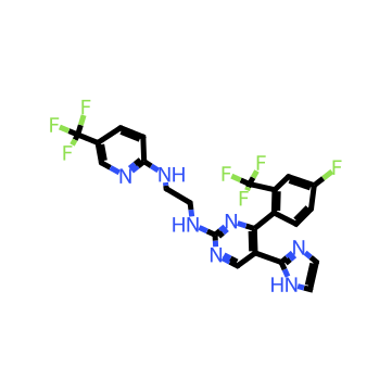 Fc1ccc(-c2nc(NCCNc3ccc(C(F)(F)F)cn3)ncc2-c2ncc[nH]2)c(C(F)(F)F)c1